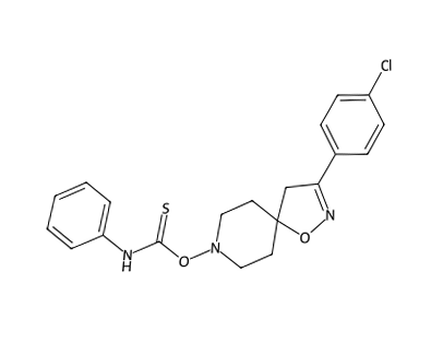 S=C(Nc1ccccc1)ON1CCC2(CC1)CC(c1ccc(Cl)cc1)=NO2